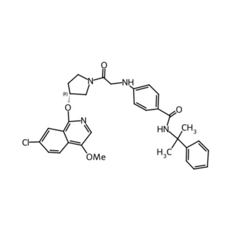 COc1cnc(O[C@@H]2CCN(C(=O)CNc3ccc(C(=O)NC(C)(C)c4ccccc4)cc3)C2)c2cc(Cl)ccc12